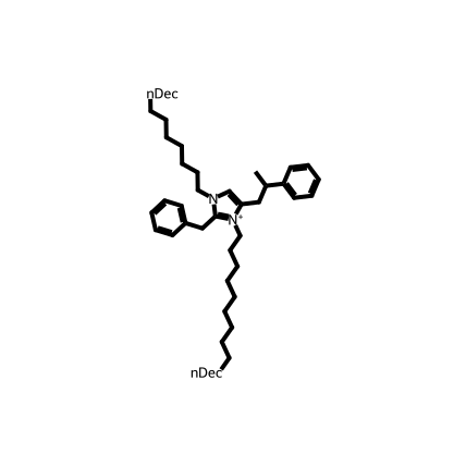 CCCCCCCCCCCCCCCCCCC[n+]1c(CC(C)c2ccccc2)cn(CCCCCCCCCCCCCCCCC)c1Cc1ccccc1